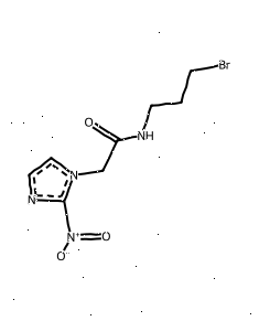 O=C(Cn1ccnc1[N+](=O)[O-])NCCCBr